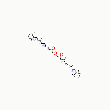 CC1=C(/C=C/C(C)=C/C=C/C(C)=C/C(=O)COCC(=O)/C=C(C)/C=C/C=C(C)/C=C/C2=C(C)CCCC2(C)C)C(C)(C)CCC1